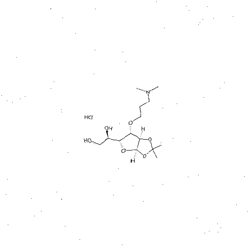 CN(C)CCCO[C@@H]1[C@H]2OC(C)(C)O[C@H]2O[C@@H]1[C@H](O)CO.Cl